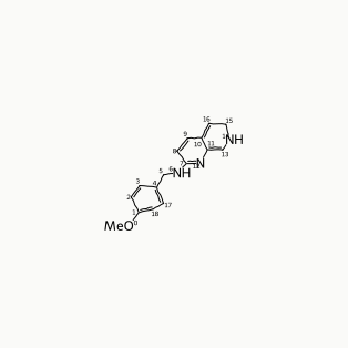 COc1ccc(CNc2ccc3c(n2)=CNCC=3)cc1